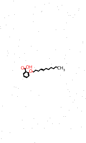 CCCCCCC=CCCCOc1ccccc1C(=O)O